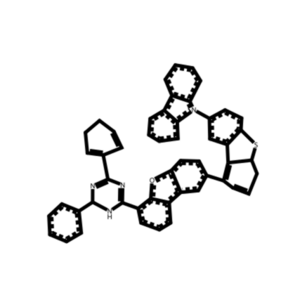 C1=CC(C2=NC(c3ccccc3)NC(c3cccc4c3oc3ccc(C5=C6c7cc(-n8c9ccccc9c9ccccc98)ccc7SC6CC=C5)cc34)=N2)=CCC1